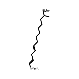 CCCCCC=CCC=CCCCCCCC(C)[N]C